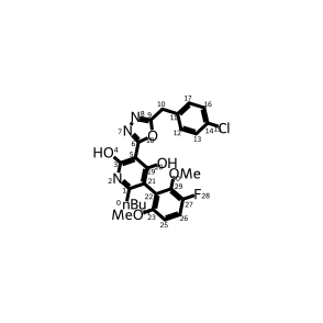 CCCCc1nc(O)c(-c2nnc(Cc3ccc(Cl)cc3)o2)c(O)c1-c1c(OC)ccc(F)c1OC